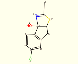 CC1=NC2(O)c3ccc(Cl)cc3CC2S1